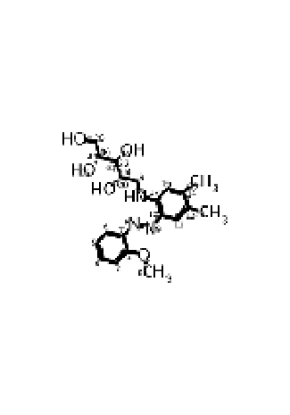 COc1ccccc1N=Nc1cc(C)c(C)cc1NC[C@H](O)[C@H](O)[C@H](O)CO